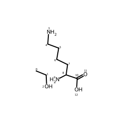 CCO.NCCCCC(N)C(=O)O